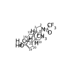 C[C@]12CCN(C(=O)C(F)(F)F)C1CC[C@@H]1[C@@H]2CC[C@]2(C)C(O)=CC[C@@H]12